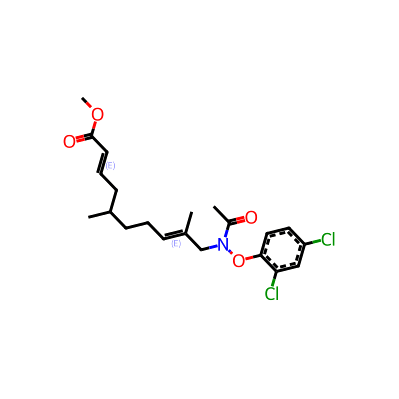 COC(=O)/C=C/CC(C)CC/C=C(\C)CN(Oc1ccc(Cl)cc1Cl)C(C)=O